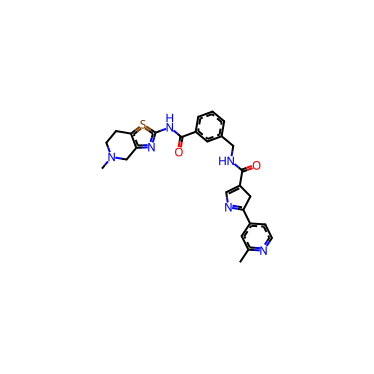 Cc1cc(C2=NC=C(C(=O)NCc3cccc(C(=O)Nc4nc5c(s4)CCN(C)C5)c3)C2)ccn1